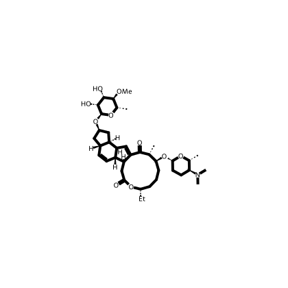 CC[C@H]1CCC[C@H](O[C@H]2CC[C@H](N(C)C)[C@@H](C)O2)[C@@H](C)C(=O)C2=C[C@@H]3[C@@H](C=C[C@@H]4C[C@@H](O[C@@H]5O[C@@H](C)[C@H](OC)[C@@H](O)[C@H]5O)C[C@@H]34)[C@@H]2CC(=O)O1